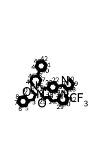 O=C(C(Cc1ccccc1)N(Cc1ccc(-c2ccccn2)cc1)C(=O)C=Cc1ccc(C(F)(F)F)nc1)N1CCC(c2ccccc2)CC1